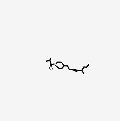 CCCC(C)C#CCCC1CCN(C(=O)C(C)C)CC1